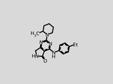 CCc1ccc(Nc2nc(N3CCCCC3C)nc3c2C(=O)NC3)cc1